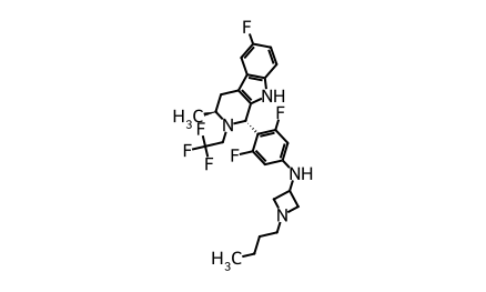 CCCCN1CC(Nc2cc(F)c([C@H]3c4[nH]c5ccc(F)cc5c4C[C@H](C)N3CC(F)(F)F)c(F)c2)C1